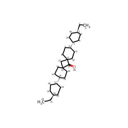 CC[C@H]1CC[C@H](C2CCC3(CC2)CC2(CCC([C@H]4CC[C@H](CC)CC4)CC2)C3=O)CC1